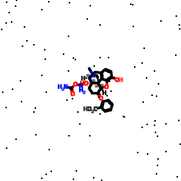 CN1CC[C@]23c4c5ccc(O)c4O[C@H]2C(=O)CC[C@@]3(O)[C@H]1C5.NOC(N)=O.O=C(O)c1ccccc1